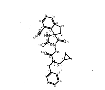 C[C@@H](C1CC1)N(Cc1ccccc1)C(=O)CN1C(=O)NC2(CCc3cccc(C#N)c32)C1=O